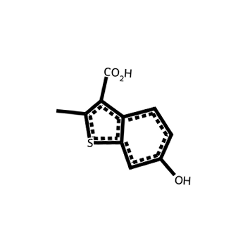 Cc1sc2cc(O)ccc2c1C(=O)O